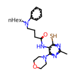 CCCCCCN(CCCC(=O)Nc1c(S)nc(C)nc1N1CCOCC1)c1ccccc1